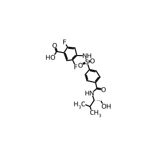 CC(C)[C@@H](CO)NC(=O)c1ccc(S(=O)(=O)Nc2cc(F)c(C(=O)O)cc2F)cc1